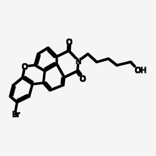 O=c1c2ccc3oc4ccc(Br)cc4c4ccc(c(=O)n1CCCCCO)c2c34